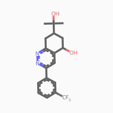 CC(C)(O)C1Cc2nnc(-c3cccc(C(F)(F)F)c3)cc2C(O)C1